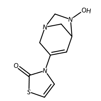 O=c1sccn1C1=CC2CN(C1)CN2O